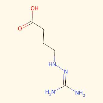 NC(N)=NNCCCC(=O)O